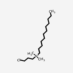 CCCCCCCCCCCC[N+](C)(C)CCCCl